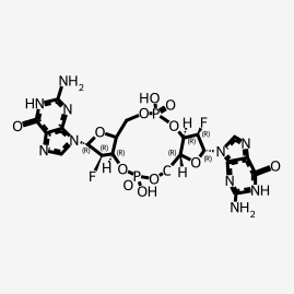 Nc1nc2c(ncn2[C@@H]2O[C@@H]3COP(=O)(O)O[C@@H]4C(COP(=O)(O)O[C@H]3[C@H]2F)O[C@@H](n2cnc3c(=O)[nH]c(N)nc32)[C@@H]4F)c(=O)[nH]1